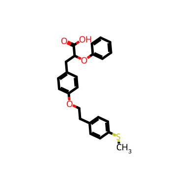 CSc1ccc(CCOc2ccc(CC(Oc3ccccc3)C(=O)O)cc2)cc1